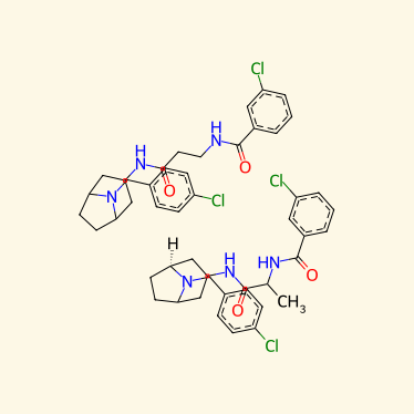 CC(NC(=O)c1cccc(Cl)c1)C(=O)NC1CC2CC[C@@H](C1)N2Cc1ccc(Cl)cc1.O=C(CCNC(=O)c1cccc(Cl)c1)NC1CC2CCC(C1)N2Cc1ccc(Cl)cc1